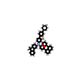 CC1(C)c2ccccc2-c2cc(N(c3ccc(-c4cccc5cccc(-c6ccccc6)c45)cc3)c3ccc4c(c3)sc3cc(C5CCCCC5)ccc34)ccc21